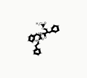 CC(=O)SCC(Cc1ccccc1)C(=O)NC(Cc1ccccc1)C(=O)NCCc1ccccc1